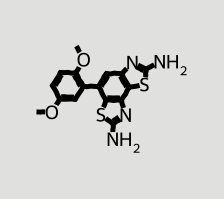 COc1ccc(OC)c(-c2cc3nc(N)sc3c3nc(N)sc23)c1